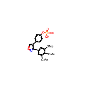 COc1cc(-c2nocc2-c2ccc(OP(=O)(O)O)cc2)cc(OC)c1OC